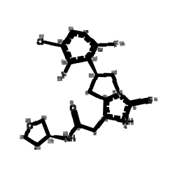 O=C(Cc1[nH]c(=S)n2c1C[C@@H](c1c(F)ccc(Cl)c1F)C2)N[C@H]1CCOC1